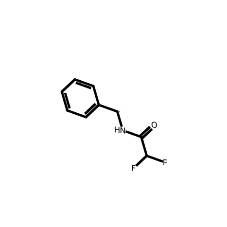 O=C(N[CH]c1ccccc1)C(F)F